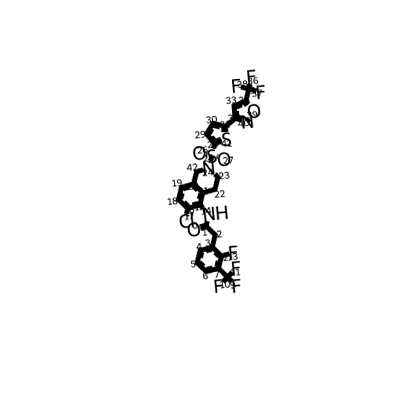 O=C(Cc1cccc(C(F)(F)F)c1F)Nc1c(Cl)ccc2c1CCN(S(=O)(=O)c1ccc(-c3cc(C(F)(F)F)on3)s1)C2